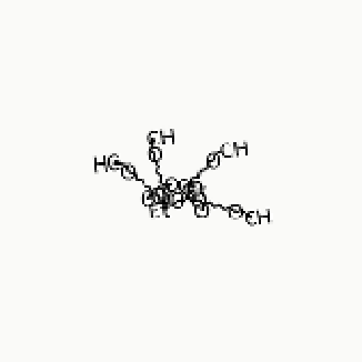 C#CCOCCCCCC(=O)OCC(CC)(COCC(CC)(COC(=O)CCCCCOCC#C)COC(=O)CCCCCOCC#C)COC(=O)CCCCCOCC#C